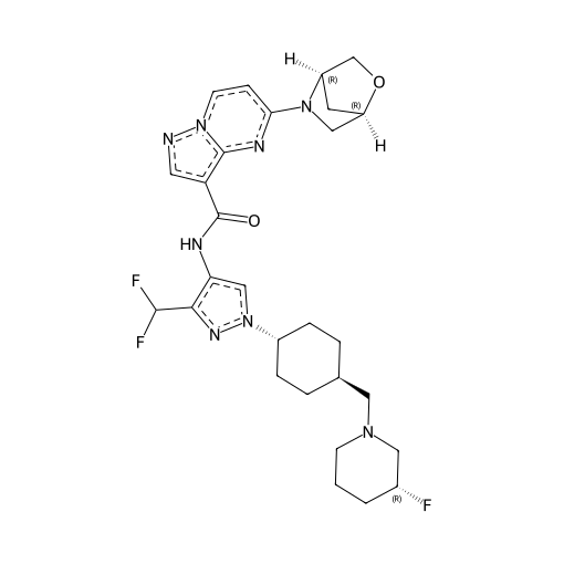 O=C(Nc1cn([C@H]2CC[C@H](CN3CCC[C@@H](F)C3)CC2)nc1C(F)F)c1cnn2ccc(N3C[C@H]4C[C@@H]3CO4)nc12